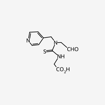 O=CCN(Cc1ccncc1)C(=S)NCC(=O)O